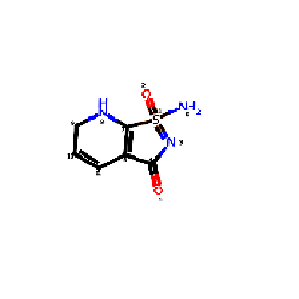 NS1(=O)=NC(=O)C2=C1NCC=C2